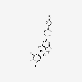 O=C1CC(C2CCC(c3cc(F)c(C(F)(F)Oc4cc(F)c(F)c(F)c4)c(F)c3)CC2)O1